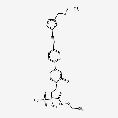 CCOCc1ccc(C#Cc2ccc(-c3ccn(CC[C@](C)(C(=O)NOCC)S(C)(=O)=O)c(=O)c3)cc2)o1